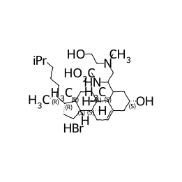 Br.CC(C)CCC[C@@H](C)[C@H]1CC[C@H]2[C@@H]3CC=C4C[C@@H](O)CC(C(CN(C)CCO)NC(=O)O)[C@]4(C)[C@H]3CC[C@]12C